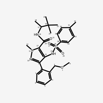 COCc1ccccc1-c1nn(C)c(C(=O)NC(C)C(C)(C)C)c1NS(=O)(=O)c1ccc(C)cc1